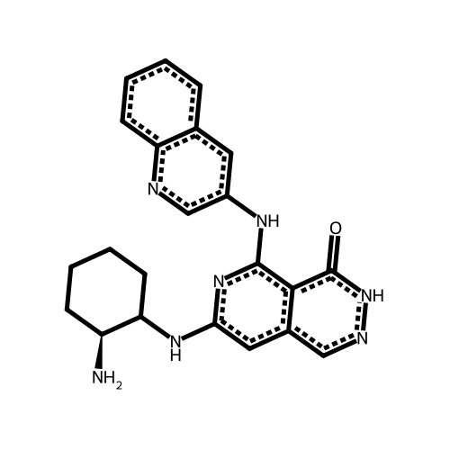 N[C@H]1CCCCC1Nc1cc2cn[nH]c(=O)c2c(Nc2cnc3ccccc3c2)n1